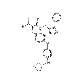 CCC(CC)c1cc2cnc(Nc3ccc(NC4CCNC4)cc3)nc2n(Cc2ncsc2-c2ccncc2)c1=O